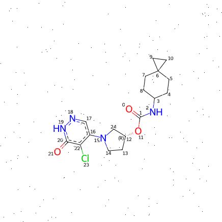 O=C(NC1CCC2(CC1)CC2)O[C@@H]1CCN(c2cn[nH]c(=O)c2Cl)C1